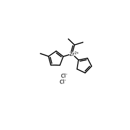 CC1=CC[C]([Zr+2]([C]2=CC=CC2)=[C](C)C)=C1.[Cl-].[Cl-]